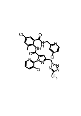 Cc1cc(Cl)cc(C(=O)NCc2cc(Cl)ccn2)c1NC(=O)c1cc(Cn2nnc(C(F)(F)F)n2)nn1-c1ncccc1Cl